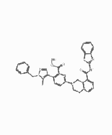 Cc1c(-c2ccc(N3CCc4cccc(C(=O)Nc5nc6ccccc6s5)c4C3)nc2C(=O)OC(C)(C)C)cnn1Cc1ccccc1